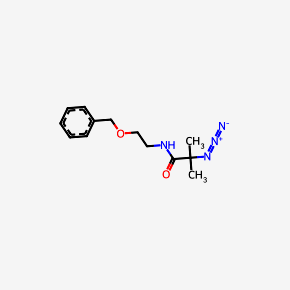 CC(C)(N=[N+]=[N-])C(=O)NCCOCc1ccccc1